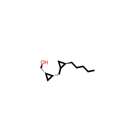 CCCCC[C@@H]1CC1C[C@@H]1C[C@@H]1CO